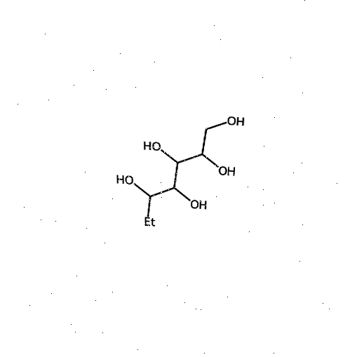 [CH2]CC(O)C(O)C(O)C(O)CO